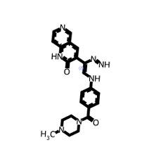 CN1CCN(C(=O)c2ccc(N/C=C(\N=N)c3cc4cnccc4[nH]c3=O)cc2)CC1